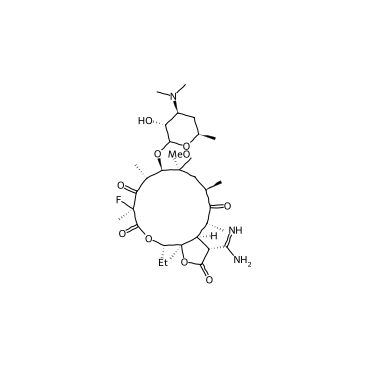 CC[C@@H]1OC(=O)[C@@](C)(F)C(=O)[C@H](C)[C@@H](OC2O[C@H](C)C[C@H](N(C)C)[C@H]2O)[C@](C)(OC)C[C@@H](C)C(=O)[C@H](C)[C@H]2[C@H](C(=N)N)C(=O)O[C@]21C